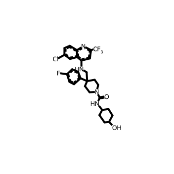 O=C(NC1CCC(O)CC1)N1CCC(CNc2cc(C(F)(F)F)nc3ccc(Cl)cc23)(c2ccc(F)cc2)CC1